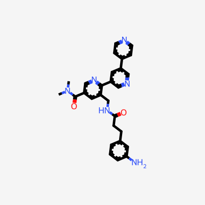 CN(C)C(=O)c1cnc(-c2cncc(-c3ccncc3)c2)c(CNC(=O)CCc2cccc(N)c2)c1